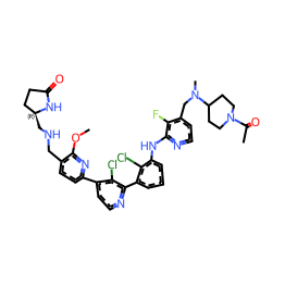 COc1nc(-c2ccnc(-c3cccc(Nc4nccc(CN(C)C5CCN(C(C)=O)CC5)c4F)c3Cl)c2Cl)ccc1CNC[C@H]1CCC(=O)N1